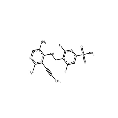 CC#Cc1c(C)ncc(N)c1NCc1c(F)cc(S(N)(=O)=O)cc1F